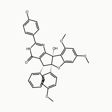 COc1ccc([C@@]23Oc4cc(OC)cc(OC)c4[C@]2(O)c2nc(-c4ccc(Cl)cc4)[nH]c(=O)c2[C@H]3c2ccccc2)cc1